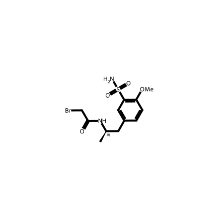 COc1ccc(C[C@@H](C)NC(=O)CBr)cc1S(N)(=O)=O